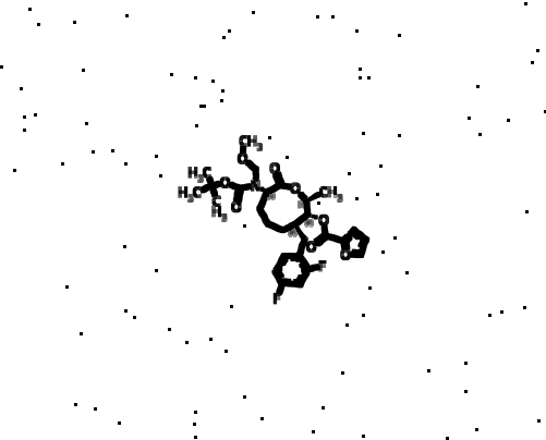 COCN(C(=O)OC(C)(C)C)[C@H]1CCC[C@H](Cc2ccc(F)cc2F)[C@@H](OC(=O)c2ccco2)[C@H](C)OC1=O